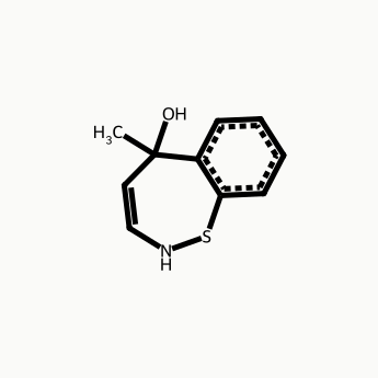 CC1(O)C=CNSc2ccccc21